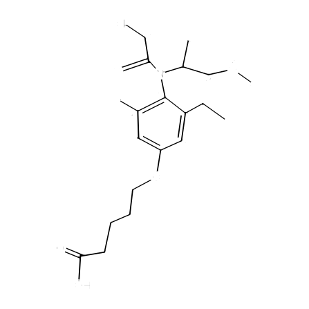 CCc1cc(OCCCCC(=O)O)cc(C)c1N(C(=O)CCl)C(C)COC